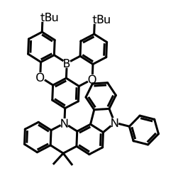 CC(C)(C)c1ccc2c(c1)B1c3cc(C(C)(C)C)ccc3Oc3cc(N4c5ccccc5C(C)(C)c5ccc6c(c54)c4ccccc4n6-c4ccccc4)cc(c31)O2